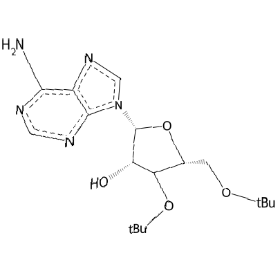 CC(C)(C)OC[C@H]1O[C@@H](n2cnc3c(N)ncnc32)[C@@H](O)C1OC(C)(C)C